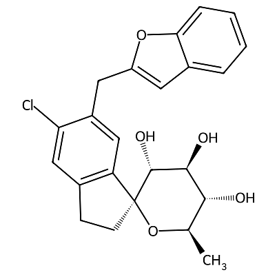 C[C@H]1O[C@]2(CCc3cc(Cl)c(Cc4cc5ccccc5o4)cc32)[C@H](O)[C@@H](O)[C@@H]1O